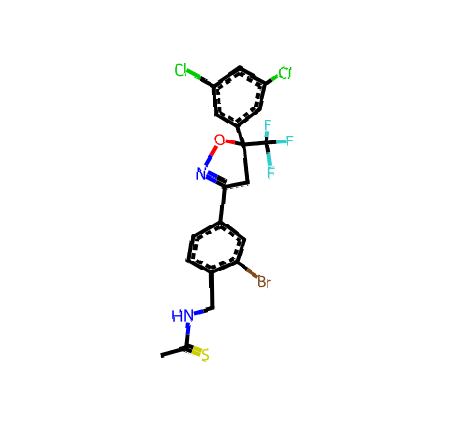 CC(=S)NCc1ccc(C2=NOC(c3cc(Cl)cc(Cl)c3)(C(F)(F)F)C2)cc1Br